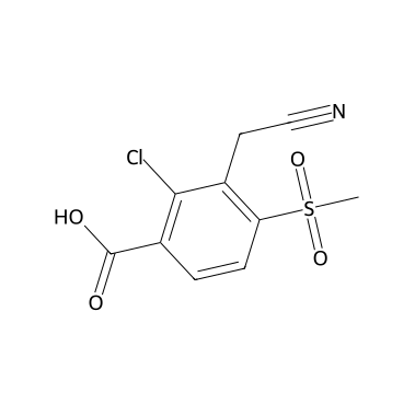 CS(=O)(=O)c1ccc(C(=O)O)c(Cl)c1CC#N